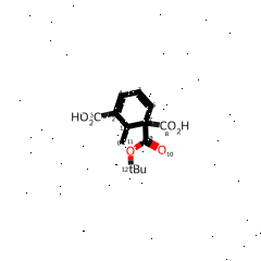 CC1C(C(=O)O)=CC=CC1(C(=O)O)C(=O)OC(C)(C)C